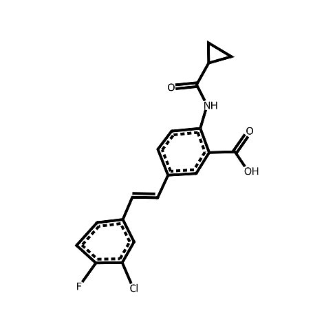 O=C(O)c1cc(/C=C/c2ccc(F)c(Cl)c2)ccc1NC(=O)C1CC1